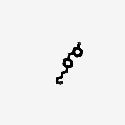 O=S(=O)(O)CCCOc1ccc(Oc2cccc(Cl)c2)cc1